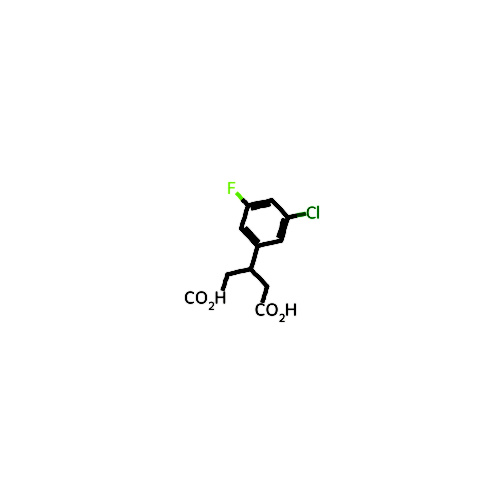 O=C(O)CC(CC(=O)O)c1cc(F)cc(Cl)c1